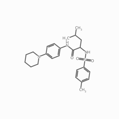 Cc1ccc(S(=O)(=O)NC(CC(C)C)C(=O)Nc2ccc(N3CCCCC3)cc2)cc1